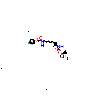 CC(OCC(=O)NC12CC(CCCCCNC(=O)COc3ccc(Cl)cc3)(C1)C2)C1CC1